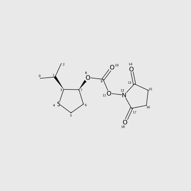 CC(C)[C@@H]1SCC[C@@H]1OC(=O)ON1C(=O)CCC1=O